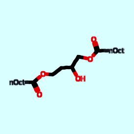 CCCCCCCCC(=O)OCCC(O)COC(=O)CCCCCCCC